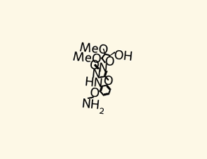 CO[C@@H]1[C@H](OC)[C@H](n2cc3c(nc2=O)Nc2c(OCCN)cccc2O3)O[C@@H]1CO